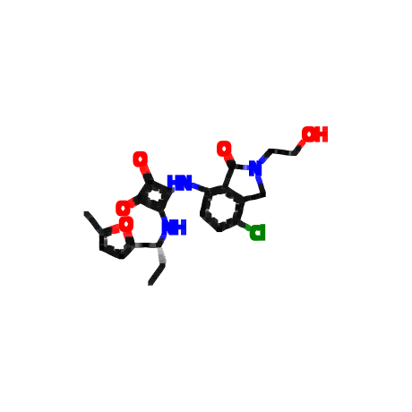 CC[C@@H](Nc1c(Nc2ccc(Cl)c3c2C(=O)N(CCO)C3)c(=O)c1=O)c1ccc(C)o1